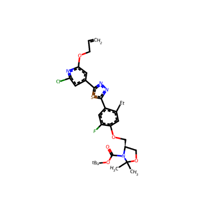 C=CCOc1cc(-c2nnc(-c3cc(F)c(OC[C@H]4COC(C)(C)N4C(=O)OC(C)(C)C)cc3CC)s2)cc(Cl)n1